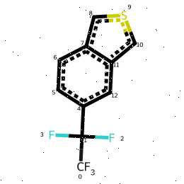 FC(F)(F)C(F)(F)c1ccc2[c]scc2c1